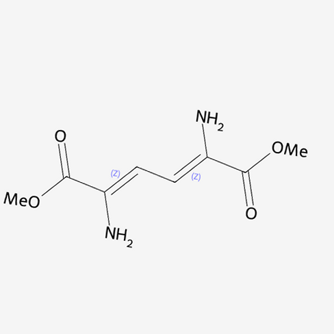 COC(=O)/C(N)=C/C=C(\N)C(=O)OC